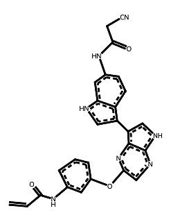 C=CC(=O)Nc1cccc(Oc2cnc3[nH]cc(-c4c[nH]c5cc(NC(=O)CC#N)ccc45)c3n2)c1